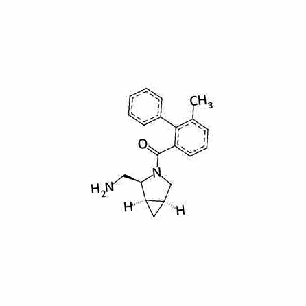 Cc1cccc(C(=O)N2C[C@H]3C[C@H]3[C@H]2CN)c1-c1ccccc1